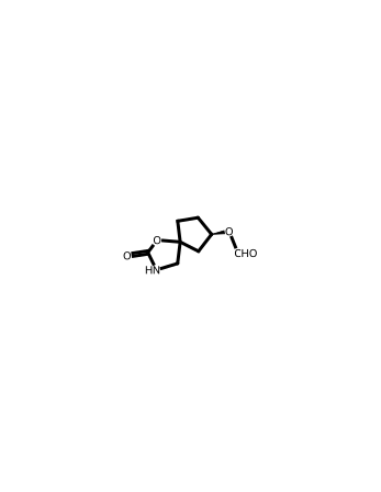 O=CO[C@@H]1CCC2(CNC(=O)O2)C1